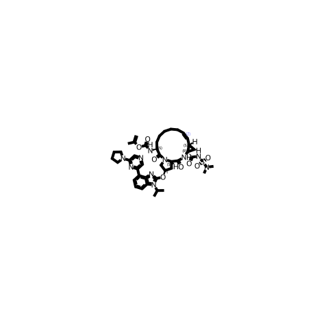 C=C(C)OC(=O)N[C@H]1CCCCC/C=C\[C@@H]2C[C@@]2(C(=O)NS(=O)(=O)N(C)C)NC(=O)[C@@H]2C[C@@H](Oc3nc4c(-c5cncc(N6CCCC6)n5)cccc4n3C(C)C)CN2C1=O